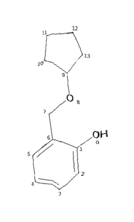 Oc1ccccc1COC1CCCC1